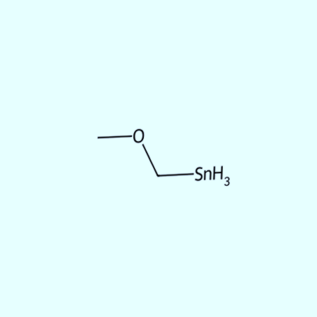 CO[CH2][SnH3]